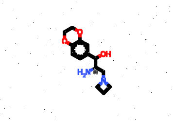 N[C@H](CN1CCC1)C(O)c1ccc2c(c1)OCCO2